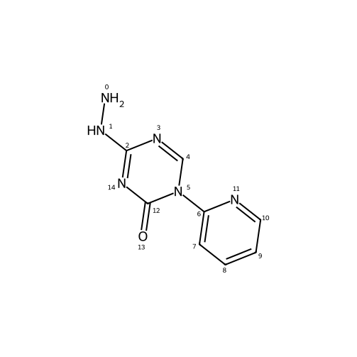 NNc1ncn(-c2ccccn2)c(=O)n1